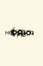 COC1CCC(C(=O)Oc2ccc(C3CC(C)(C)N(O)C(C)(C)C3)c(F)c2F)CC1